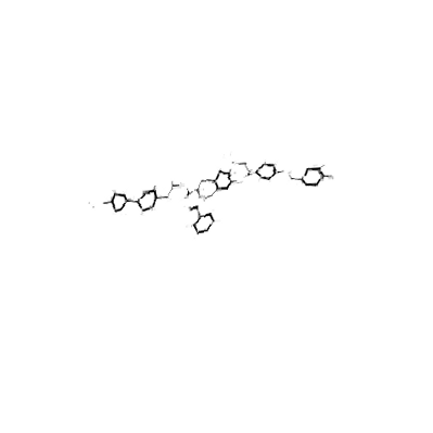 CC(=O)N1C[C@H](c2ccc(OCc3ccc(Cl)c(Cl)c3)cc2)Oc2cc3c(cc21)C[C@@H](C(=O)NC(Cc1ccc(-c2ccc(C#N)cc2)cc1)C(=O)O)N(C(=O)c1ccccc1)C3